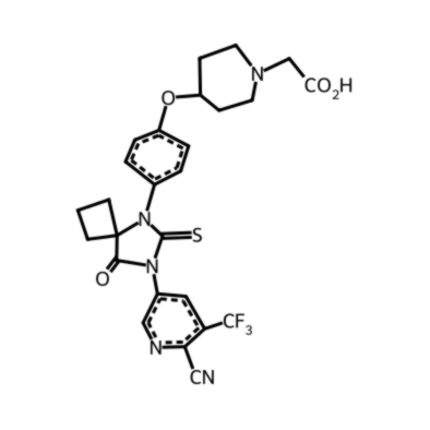 N#Cc1ncc(N2C(=O)C3(CCC3)N(c3ccc(OC4CCN(CC(=O)O)CC4)cc3)C2=S)cc1C(F)(F)F